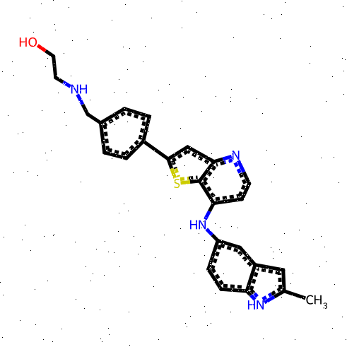 Cc1cc2cc(Nc3ccnc4cc(-c5ccc(CNCCO)cc5)sc34)ccc2[nH]1